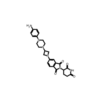 Nc1ccc(N2CCN(C3CN(c4ccc5c(c4)C(=O)N(C4CCC(=O)NC4=O)C5=O)C3)CC2)cc1